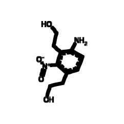 Nc1ccc(CCO)c([N+](=O)[O-])c1CCO